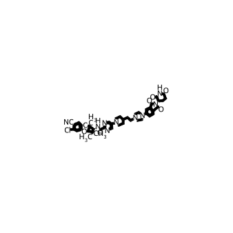 CC1(C)[C@H](NC(=O)c2ncc(N3CCC(CCN4CCN(c5ccc6c(c5)C(=O)N(C5CCC(=O)NC5=O)C6=O)CC4)CC3)cn2)C(C)(C)[C@H]1Oc1ccc(C#N)c(Cl)c1